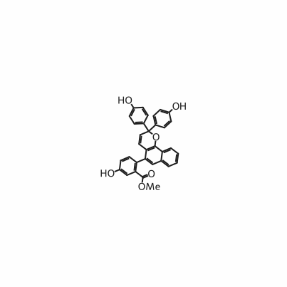 COC(=O)c1cc(O)ccc1-c1cc2ccccc2c2c1C=CC(c1ccc(O)cc1)(c1ccc(O)cc1)O2